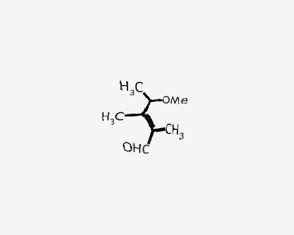 COC(C)C(C)=C(C)C=O